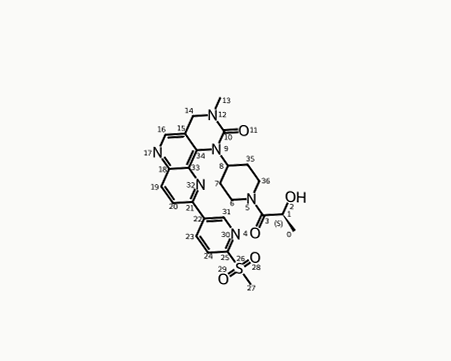 C[C@H](O)C(=O)N1CCC(N2C(=O)N(C)Cc3cnc4ccc(-c5ccc(S(C)(=O)=O)nc5)nc4c32)CC1